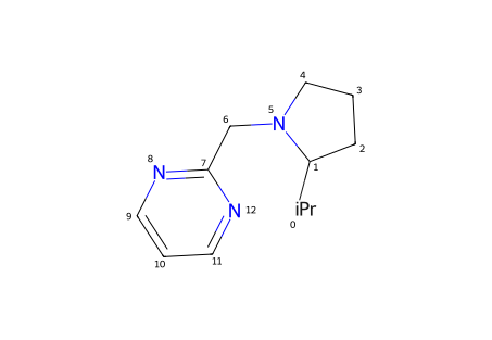 CC(C)C1CCCN1Cc1ncccn1